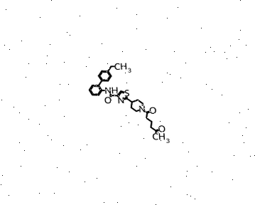 CCc1ccc(-c2ccccc2NC(=O)c2csc(C3CCN(C(=O)CCCC(C)=O)CC3)n2)cc1